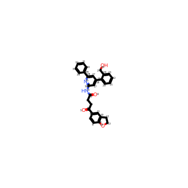 O=C(CCC(=O)c1ccc2c(c1)CCO2)Nc1cc(-c2ccccc2CO)cc(-c2ccccc2)n1